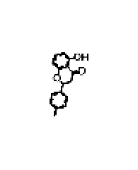 Cc1ccc(C2CC(=O)c3c(O)cccc3O2)cc1